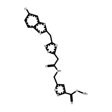 CC(C)(C)OC(=O)c1cc(CNC(=O)Cc2nnc(Cc3nc4cc(Cl)ccc4s3)o2)on1